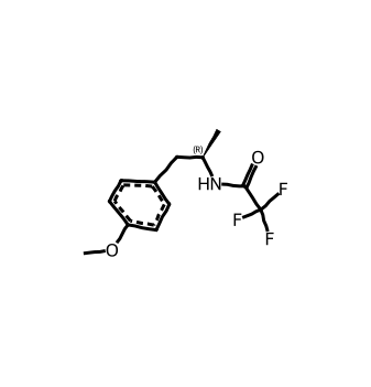 COc1ccc(C[C@@H](C)NC(=O)C(F)(F)F)cc1